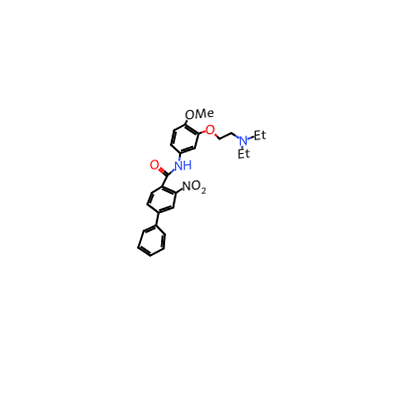 CCN(CC)CCOc1cc(NC(=O)c2ccc(-c3ccccc3)cc2[N+](=O)[O-])ccc1OC